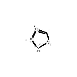 C1=NSNO1